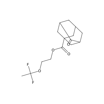 CC(F)(F)OCCOC(=O)C12CC3CC(C1)C(=O)C(C3)C2